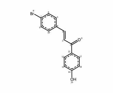 O=C(/C=C/c1ccc(Br)cc1)c1ccc(O)cc1